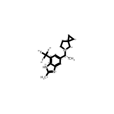 Cc1nc2cc([C@@H](C)N3CCC4(CC4)C3)cc(C(F)(F)F)c2[nH]1